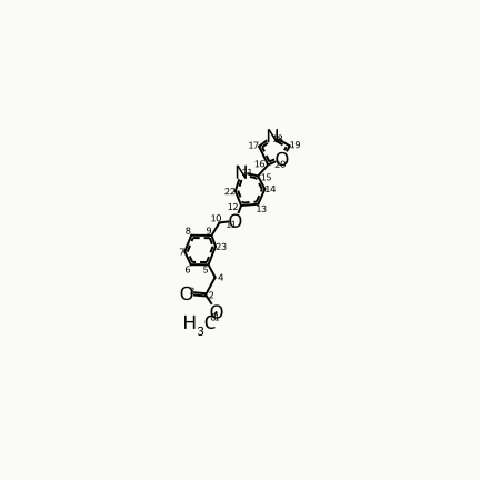 COC(=O)Cc1cccc(COc2ccc(-c3cnco3)nc2)c1